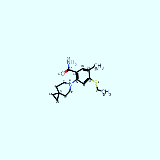 CCSc1cc(N2CCC3(CC2)CC3)c(C(N)=O)cc1C